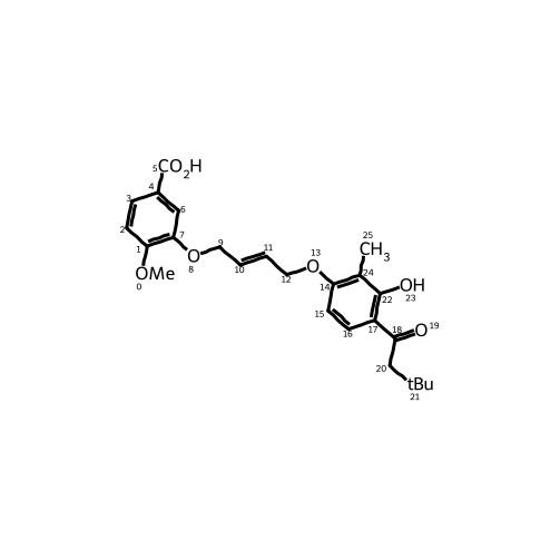 COc1ccc(C(=O)O)cc1OCC=CCOc1ccc(C(=O)CC(C)(C)C)c(O)c1C